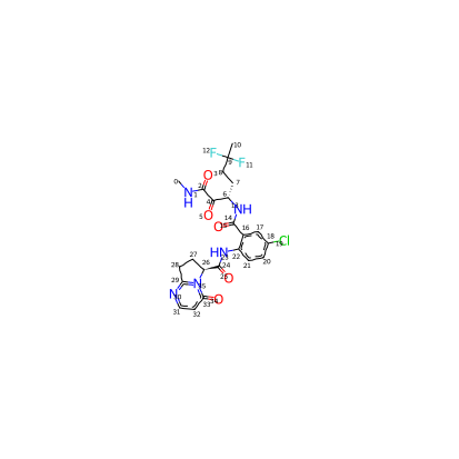 CNC(=O)C(=O)[C@H](CCC(C)(F)F)NC(=O)c1cc(Cl)ccc1NC(=O)[C@@H]1CCc2nccc(=O)n21